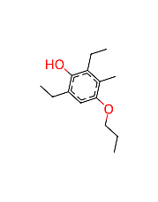 CCCOc1cc(CC)c(O)c(CC)c1C